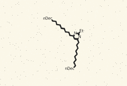 C[CH]c1nc(CCCCCCCCCCCCCCCCCCC)cc(CCCCCCCCCCCCCCCCCCC)n1